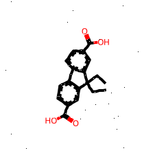 CCC1(CC)c2cc(C(=O)O)ccc2-c2ccc(C(=O)O)cc21